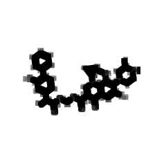 COc1c(N2CCNC(C)C2)c(F)cc2c(=O)c(C(=O)OCOC(=O)C(C)c3ccc(-c4ccccc4)c(F)c3)cn(C3CC3)c12